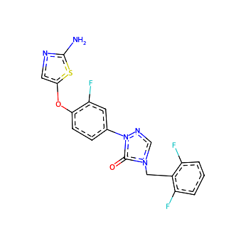 Nc1ncc(Oc2ccc(-n3ncn(Cc4c(F)cccc4F)c3=O)cc2F)s1